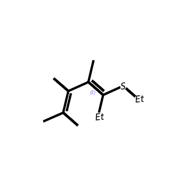 CCS/C(CC)=C(\C)C(C)=C(C)C